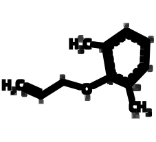 C=CCOc1c(C)cccc1C